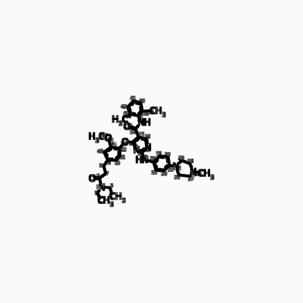 CCN(CC)C(=O)CCc1ccc(Oc2nc(Nc3ccc(N4CCN(C)CC4)cc3)ncc2C(=O)Nc2c(C)cccc2C)c(OC)c1